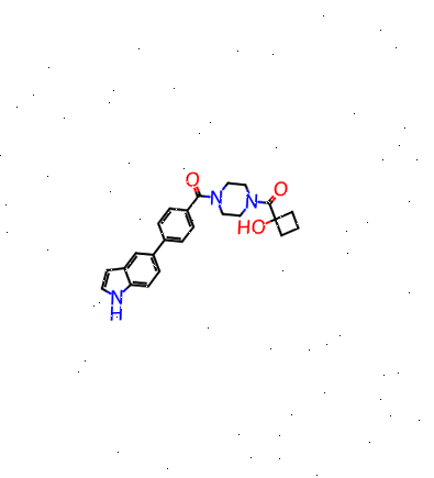 O=C(c1ccc(-c2ccc3[nH]ccc3c2)cc1)N1CCN(C(=O)C2(O)CCC2)CC1